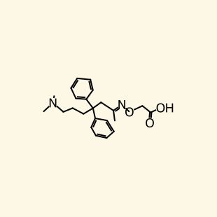 CC(CC(CCCN(C)C)(c1ccccc1)c1ccccc1)=NOCC(=O)O